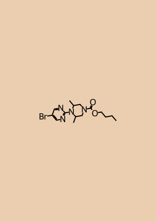 CCCCOC(=O)N1CC(C)N(c2ncc(Br)cn2)C(C)C1